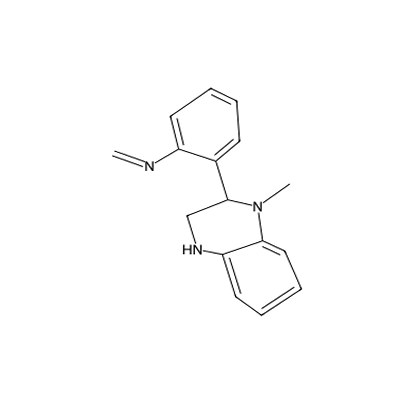 C=Nc1ccccc1C1CNc2ccccc2N1C